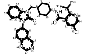 O=C(N[C@H]1CC[C@H](Cn2c(=O)n(-c3ccc4ncncc4c3)c3ccccc32)CC1)c1cc(Cl)cnc1C(F)F